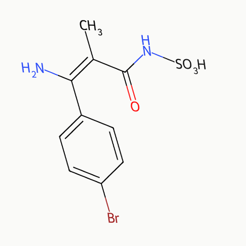 CC(C(=O)NS(=O)(=O)O)=C(N)c1ccc(Br)cc1